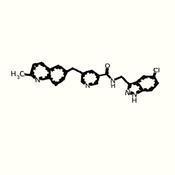 Cc1ccc2cc(Cc3cncc(C(=O)NCc4n[nH]c5ccc(Cl)cc45)c3)ccc2n1